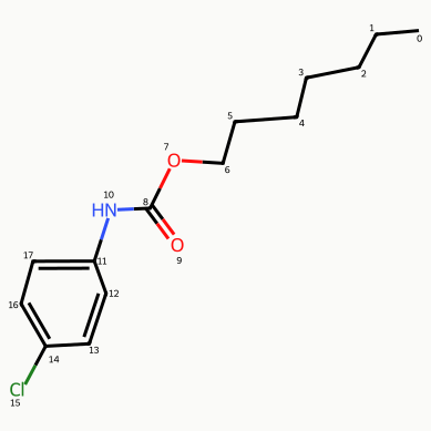 CCCCCCCOC(=O)Nc1ccc(Cl)cc1